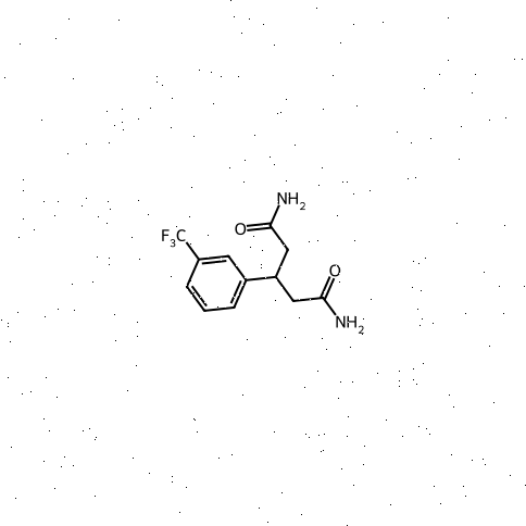 NC(=O)CC(CC(N)=O)c1cccc(C(F)(F)F)c1